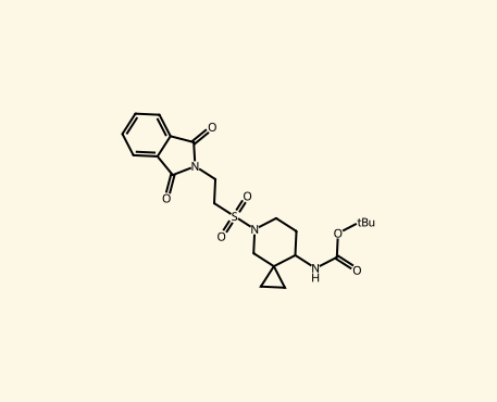 CC(C)(C)OC(=O)NC1CCN(S(=O)(=O)CCN2C(=O)c3ccccc3C2=O)CC12CC2